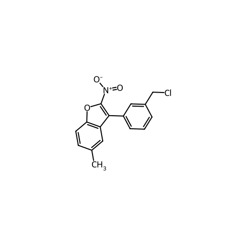 Cc1ccc2oc([N+](=O)[O-])c(-c3cccc(CCl)c3)c2c1